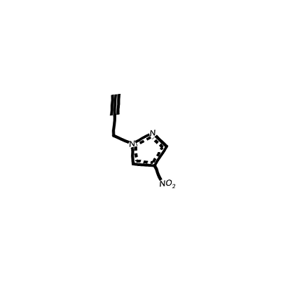 C#CCn1cc([N+](=O)[O-])cn1